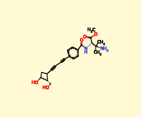 COC(=O)[C@@H](NC(=O)c1ccc(C#CC#CC2CC(O)[C@H]2CO)cc1)C(C)(C)N